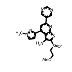 COCC[S+]([O-])c1sc2nc(-c3cncnc3)cc(-c3ccn(C)n3)c2c1N